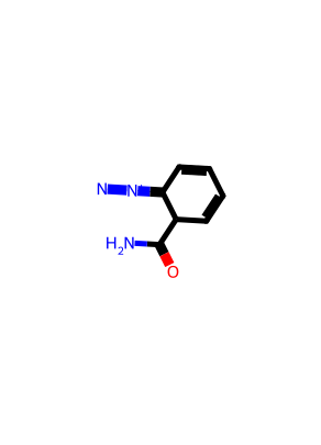 [N-]=[N+]=C1C=CC=CC1C(N)=O